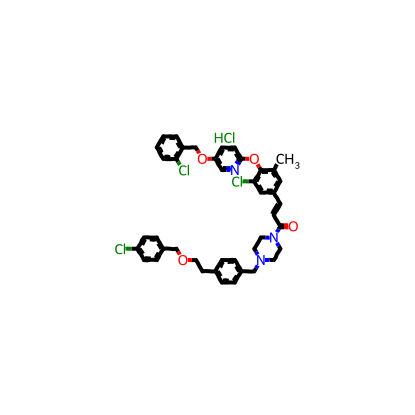 Cc1cc(C=CC(=O)N2CCN(Cc3ccc(CCOCc4ccc(Cl)cc4)cc3)CC2)cc(Cl)c1Oc1ccc(OCc2ccccc2Cl)cn1.Cl